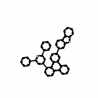 c1ccc(-c2cc(-c3cccc4c5ccccc5c5cc(-c6ccc7c(c6)sc6ccccc67)ccc5c34)cc(-c3ccccc3)n2)cc1